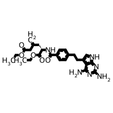 C=C(CC(=O)OCC)C[C@H](NC(=O)c1ccc(CCc2c[nH]c3nc(N)nc(N)c23)cc1)C(=O)OCC